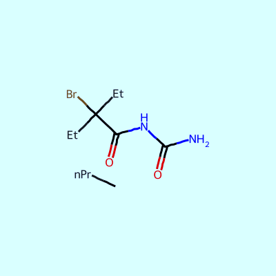 CCC(Br)(CC)C(=O)NC(N)=O.CCCC